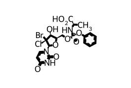 C[C@H](NP(=O)(OC[C@H]1O[C@@H](n2ccc(=O)[nH]c2=O)[C@](Cl)(Br)[C@@H]1O)Oc1ccccc1)C(=O)O